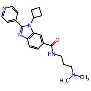 CN(C)CCCNC(=O)c1ccc2nc(-c3ccncc3)n(C3CCC3)c2c1